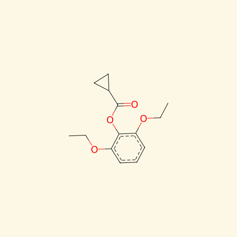 CCOc1cccc(OCC)c1OC(=O)C1CC1